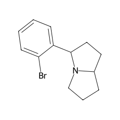 Brc1ccccc1C1CCC2CCCN21